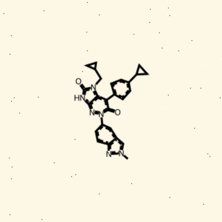 Cn1cc2cc(-n3nc4[nH]c(=O)n(CC5CC5)c4c(-c4ccc(C5CC5)cc4)c3=O)ccc2n1